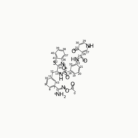 CC(=O)ON=C(N)c1cccc(CC(NS(=O)(=O)c2cccc(NC(=O)c3c[nH]ccc3=O)c2)c2nc3ccccc3s2)c1